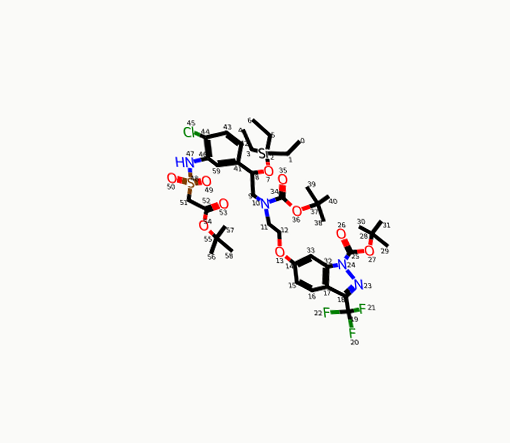 CC[Si](CC)(CC)OC(CN(CCOc1ccc2c(C(F)(F)F)nn(C(=O)OC(C)(C)C)c2c1)C(=O)OC(C)(C)C)c1ccc(Cl)c(NS(=O)(=O)CC(=O)OC(C)(C)C)c1